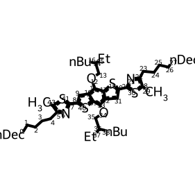 CCCCCCCCCCCCCCc1nc(-c2cc3c(OCC(CC)CCCC)c4sc(-c5nc(CCCCCCCCCCCCCC)c(C)s5)cc4c(OCC(CC)CCCC)c3s2)sc1C